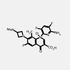 CNC1CN(c2c(F)cc3c(c2C)[N+]([O-])(c2nc(N)c(F)cc2F)C=C(C(=O)O)C3=O)C1